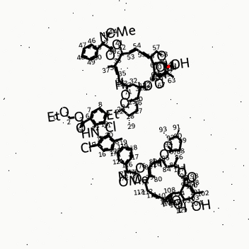 CCOCOC(=O)c1ccccc1Nc1c(Cl)ccc(C)c1Cl.CC[C@H]1O[C@]2(CC[C@@H]1C)C[C@@H]1C[C@@H](C/C=C(\C)[C@H](OC(=O)/C(=N\OC)c3ccccc3)[C@@H](C)/C=C/C=C3\CO[C@@H]4[C@H](O)C(C)=C[C@@H](C(=O)O1)[C@]34O)O2.CO/N=C(\C(=O)O[C@H]1/C(C)=C/C[C@@H]2C[C@@H](C[C@]3(CC[C@H](C)[C@@H](C)O3)O2)OC(=O)[C@@H]2C=C(C)[C@@H](O)[C@H]3OC/C(=C\C=C\[C@@H]1C)[C@]32O)c1ccccc1